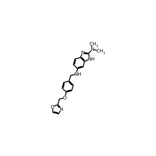 CN(C)c1nc2ccc(NCc3ccc(OCc4ncco4)cc3)cc2[nH]1